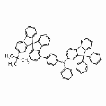 CC(C)(C)c1ccc2c(c1)C1(c3ccccc3-2)c2ccccc2-c2c(-c3ccc(N(c4ccccc4)c4ccc5c(c4)C(c4ccccc4)(c4ccccc4)c4ccccc4-5)cc3)cccc21